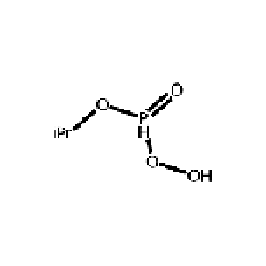 CC(C)O[PH](=O)OO